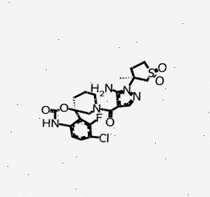 C[C@]1(n2ncc(C(=O)N3CCC[C@@]4(C3)OC(=O)Nc3ccc(Cl)c(F)c34)c2N)CCS(=O)(=O)C1